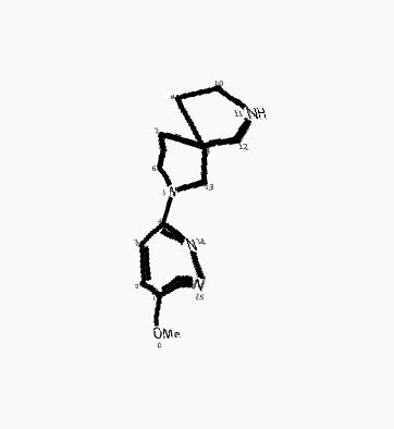 COc1ccc(N2CCC3(CCNC3)C2)nn1